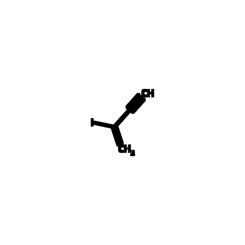 C#CC(=C)I